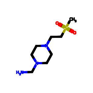 CS(=O)(=O)CCN1CCN(CN)CC1